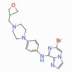 Brc1cn2ccnc2c(Nc2ccc(N3CCN(CC4COC4)CC3)cc2)n1